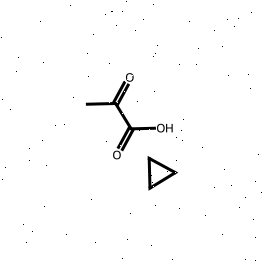 C1CC1.CC(=O)C(=O)O